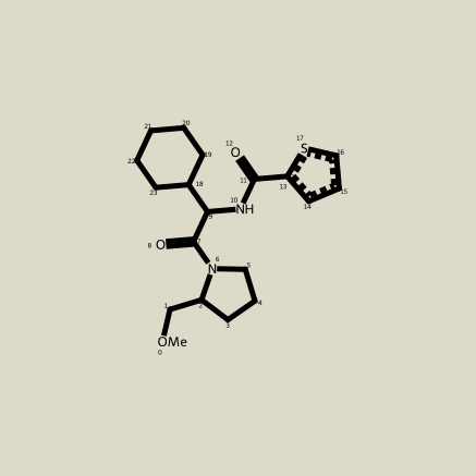 COCC1CCCN1C(=O)C(NC(=O)c1cccs1)C1CCCCC1